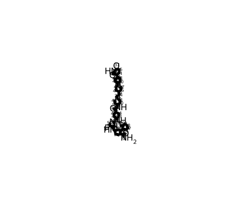 NC(=O)c1ccc(Nc2nc(Nc3ccc(C(=O)NC4CCN(CCC5CCN(c6ccc(C7CCC(=O)NC7=O)cc6)CC5)CC4)cc3)ncc2F)cc1-c1ccccc1Cl